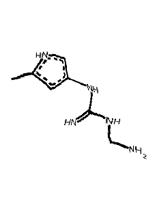 Cc1cc(NC(=N)NCN)c[nH]1